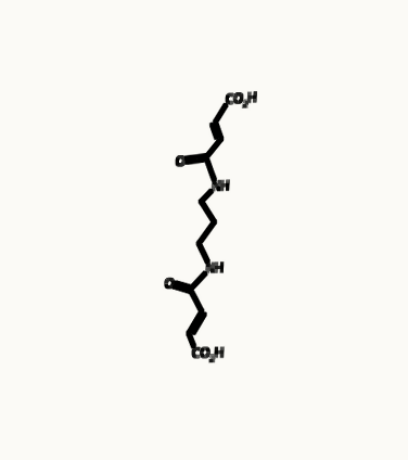 O=C(O)C=CC(=O)NCCCNC(=O)C=CC(=O)O